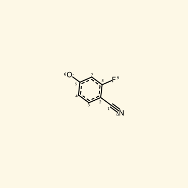 N#Cc1ccc([O])cc1F